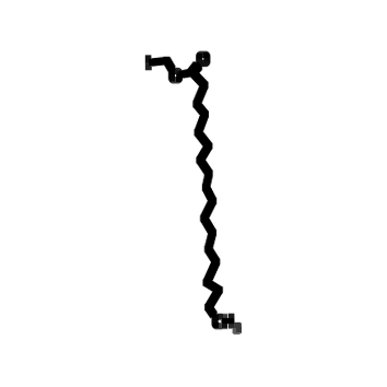 CCCCCCCCCCCCCCCCCC(=O)OCI